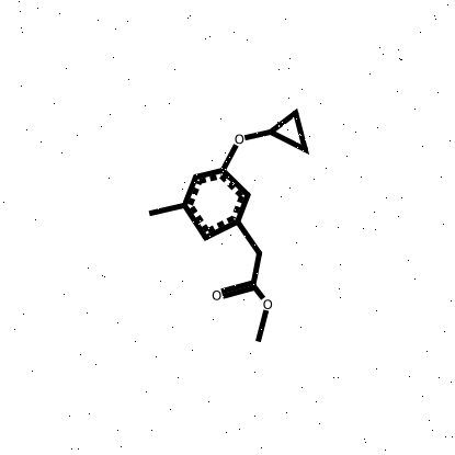 COC(=O)Cc1cc(C)cc(OC2CC2)c1